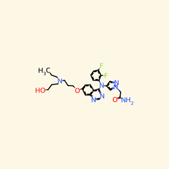 CCCN(CCCO)CCCOc1ccc2c(N(c3cnn(CC(N)=O)c3)c3cccc(F)c3F)ncnc2c1